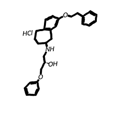 Cl.O[C@@H](CNC1CCCc2ccc(OCCc3ccccc3)cc2C1)COc1ccccc1